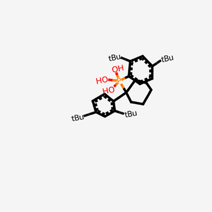 CC(C)(C)c1ccc(C2(P(O)(O)(O)c3ccc(C(C)(C)C)cc3C(C)(C)C)CCCCC2)c(C(C)(C)C)c1